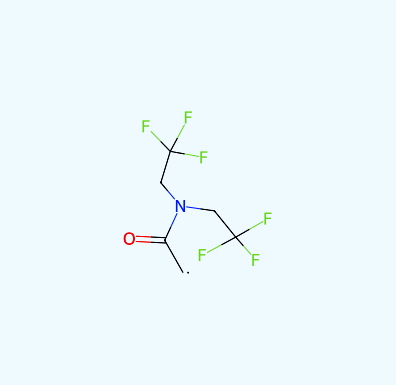 [CH2]C(=O)N(CC(F)(F)F)CC(F)(F)F